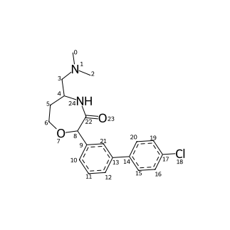 CN(C)CC1CCOC(c2cccc(-c3ccc(Cl)cc3)c2)C(=O)N1